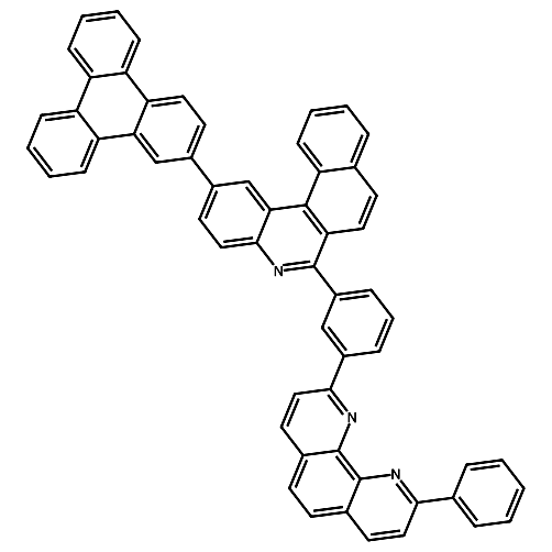 c1ccc(-c2ccc3ccc4ccc(-c5cccc(-c6nc7ccc(-c8ccc9c%10ccccc%10c%10ccccc%10c9c8)cc7c7c6ccc6ccccc67)c5)nc4c3n2)cc1